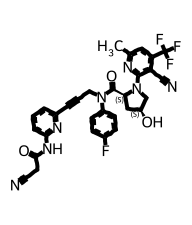 Cc1cc(C(F)(F)F)c(C#N)c(N2C[C@@H](O)C[C@H]2C(=O)N(CC#Cc2cccc(NC(=O)CC#N)n2)c2ccc(F)cc2)n1